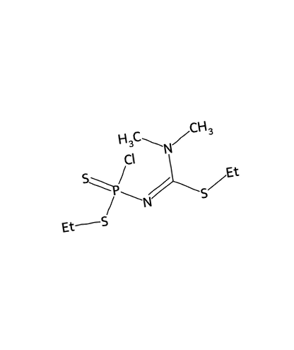 CCSC(=NP(=S)(Cl)SCC)N(C)C